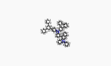 c1ccc(-c2cc(-c3ccccc3)cc(-c3ccc(N(c4ccc(-c5ccccc5-c5ccccc5)cc4)c4cccc(-c5c6ccccc6cc6c5c5ccccc5n6-c5ccccc5)c4)cc3)c2)cc1